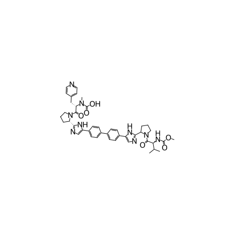 COC(=O)N[C@H](C(=O)N1CCCC1c1ncc(-c2ccc(-c3ccc(-c4cnc([C@@H]5CCCN5C(=O)[C@H](Cc5ccncc5)N(C)C(=O)O)[nH]4)cc3)cc2)[nH]1)C(C)C